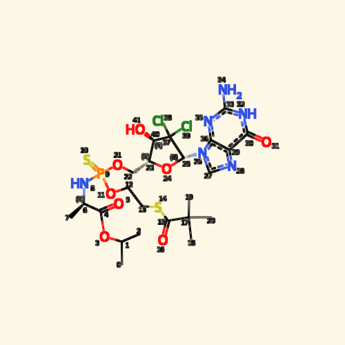 CC(C)OC(=O)[C@@H](C)NP(=S)(OCCSC(=O)C(C)(C)C)OC[C@H]1O[C@@H](n2cnc3c(=O)[nH]c(N)nc32)C(Cl)(Cl)[C@@H]1O